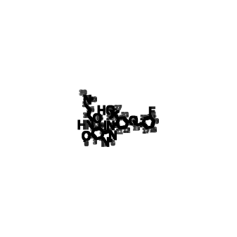 COc1cc2ncnc(Nc3ccc(OCc4cccc(F)c4)cc3C(C)(C)O)c2cc1NC(=O)C=CCN(C)C